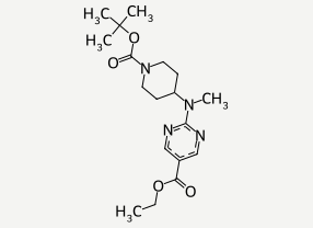 CCOC(=O)c1cnc(N(C)C2CCN(C(=O)OC(C)(C)C)CC2)nc1